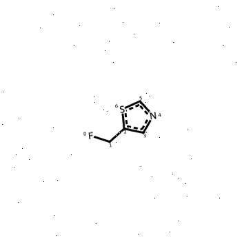 FCc1[c]n[c]s1